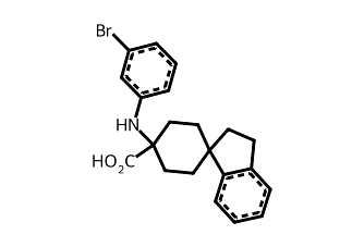 O=C(O)C1(Nc2cccc(Br)c2)CCC2(CCc3ccccc32)CC1